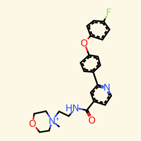 C[N+]1(CCNC(=O)c2ccnc(-c3ccc(Oc4ccc(F)cc4)cc3)c2)CCOCC1